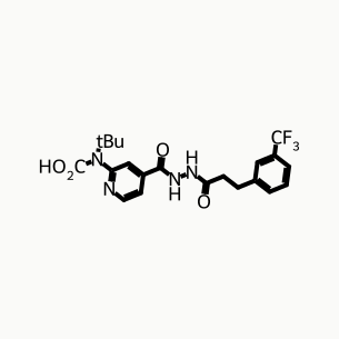 CC(C)(C)N(C(=O)O)c1cc(C(=O)NNC(=O)CCc2cccc(C(F)(F)F)c2)ccn1